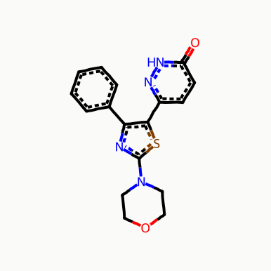 O=c1ccc(-c2sc(N3CCOCC3)nc2-c2ccccc2)n[nH]1